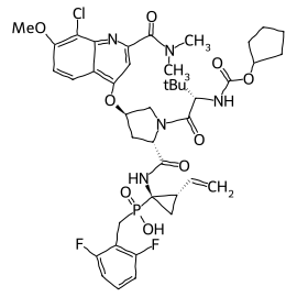 C=C[C@@H]1C[C@]1(NC(=O)[C@@H]1C[C@@H](Oc2cc(C(=O)N(C)C)nc3c(Cl)c(OC)ccc23)CN1C(=O)[C@@H](NC(=O)OC1CCCC1)C(C)(C)C)P(=O)(O)Cc1c(F)cccc1F